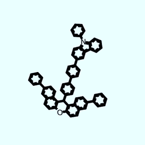 c1ccc(-c2ccc3c4c(ccc3c2)Oc2ccc3cc(-c5ccccc5)ccc3c2C4c2ccc(-c3ccc(-c4ccc5c(c4)c4ccccc4n5-c4ccccc4)cc3)cc2)cc1